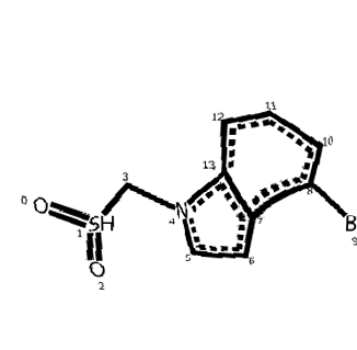 O=[SH](=O)Cn1ccc2c(Br)cccc21